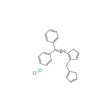 C1=CCC(CC2=[C]([Zr+2]=[C](c3ccccc3)c3ccccc3)CC=C2)=C1.[Cl-].[Cl-]